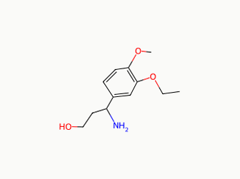 CCOc1cc(C(N)CCO)ccc1OC